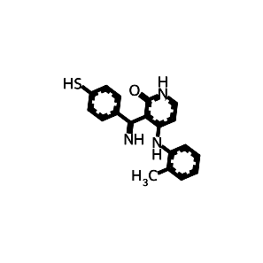 Cc1ccccc1Nc1cc[nH]c(=O)c1C(=N)c1ccc(S)cc1